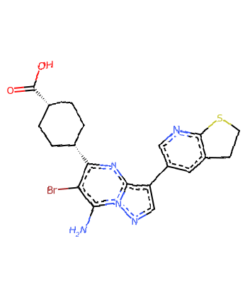 Nc1c(Br)c([C@H]2CC[C@@H](C(=O)O)CC2)nc2c(-c3cnc4c(c3)CCS4)cnn12